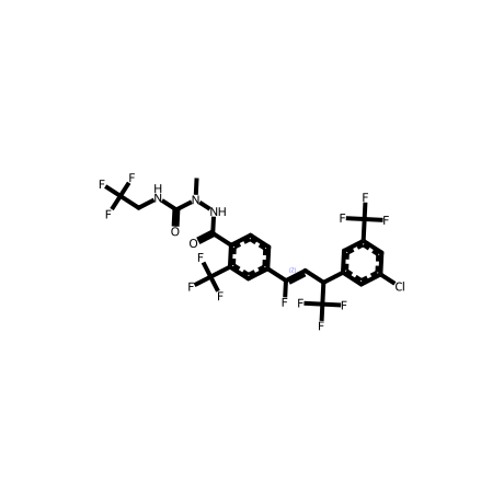 CN(NC(=O)c1ccc(/C(F)=C/C(c2cc(Cl)cc(C(F)(F)F)c2)C(F)(F)F)cc1C(F)(F)F)C(=O)NCC(F)(F)F